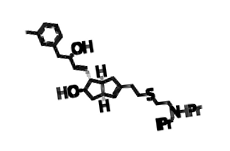 Cc1cccc(C[C@@H](O)/C=C/[C@@H]2[C@H]3CC(CCSCCN(C(C)C)C(C)C)=C[C@H]3C[C@H]2O)c1